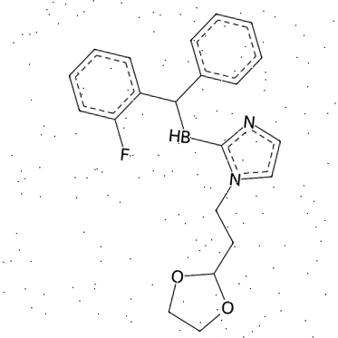 Fc1ccccc1C(Bc1nccn1CCC1OCCO1)c1ccccc1